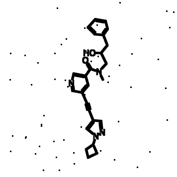 CN(CC(O)Cc1ccccc1)C(=O)c1cncc(C#Cc2cnn(C3CCC3)c2)c1